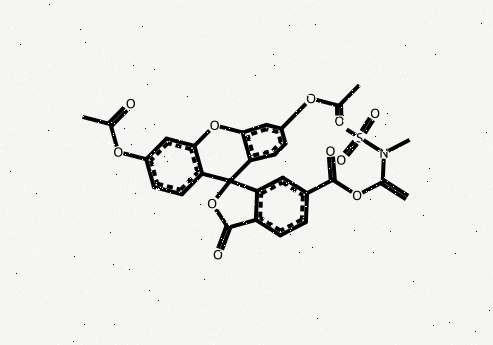 C=C(OC(=O)c1ccc2c(c1)C1(OC2=O)c2ccc(OC(C)=O)cc2Oc2cc(OC(C)=O)ccc21)N(C)S(C)(=O)=O